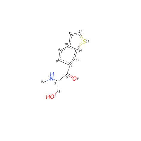 CNC(CO)C(=O)c1ccc2ccsc2c1